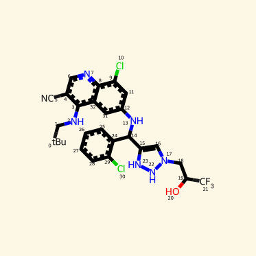 CC(C)(C)CNc1c(C#N)cnc2c(Cl)cc(NC(C3=CN(CC(O)C(F)(F)F)NN3)c3ccccc3Cl)cc12